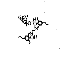 CC(=O)[O-].CC(=O)[O-].CCCc1cc(C=NCCN=Cc2cc(CCC)cc(CC)c2O)c(O)c(CC)c1.[Co+2]